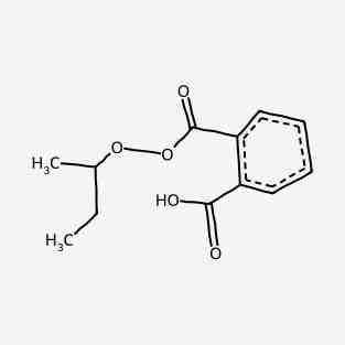 CCC(C)OOC(=O)c1ccccc1C(=O)O